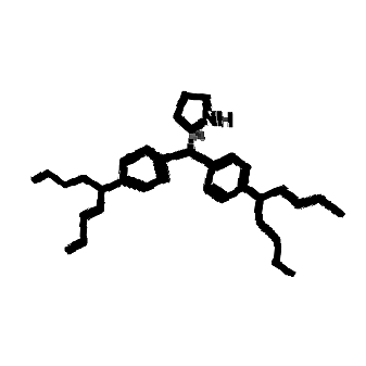 CCCCC(CCCC)c1ccc(C(c2ccc(C(CCCC)CCCC)cc2)[C@@H]2CCCN2)cc1